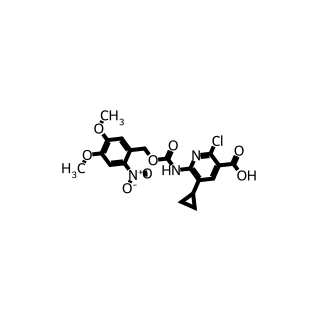 COc1cc(COC(=O)Nc2nc(Cl)c(C(=O)O)cc2C2CC2)c([N+](=O)[O-])cc1OC